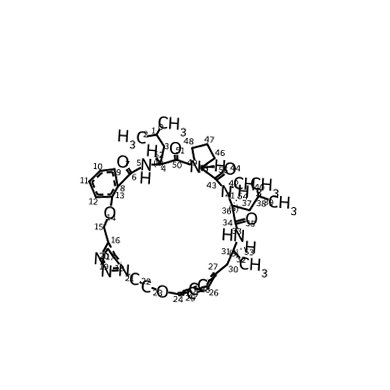 CC(C)C[C@H]1NC(=O)c2ccccc2OCc2cn(nn2)CCOc2ccc(cc2)C[C@H](C)NC(=O)[C@H](CC(C)C)N(C)C(=O)[C@H]2CCCN2C1=O